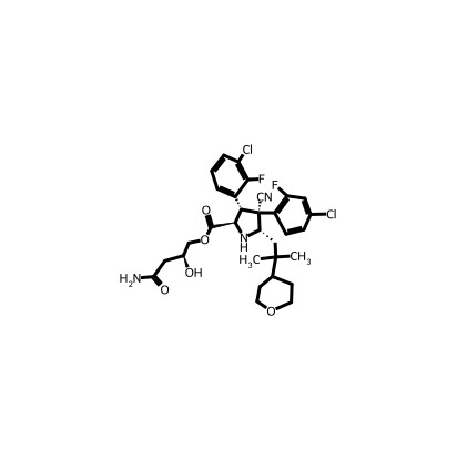 CC(C)(C[C@@H]1N[C@@H](C(=O)OC[C@@H](O)CC(N)=O)[C@H](c2cccc(Cl)c2F)[C@@]1(C#N)c1ccc(Cl)cc1F)C1CCOCC1